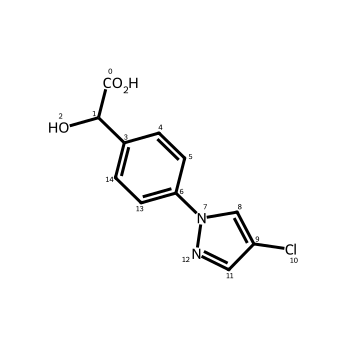 O=C(O)C(O)c1ccc(-n2cc(Cl)cn2)cc1